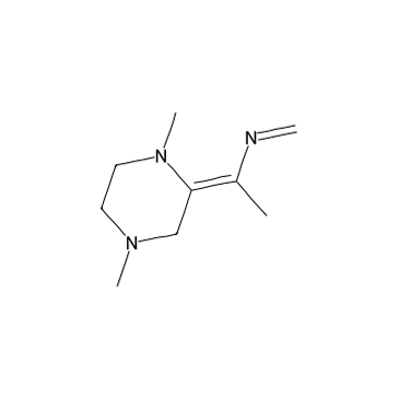 C=N/C(C)=C1/CN(C)CCN1C